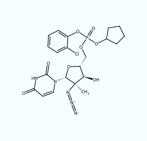 C[C@@]1(N=[N+]=[N-])[C@H](O)[C@@H](COP(=O)(Oc2ccccc2Cl)OC2CCCC2)O[C@H]1n1ccc(=O)[nH]c1=O